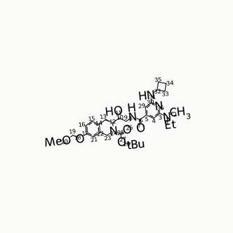 CCN(C)c1cc(C(=O)NC[C@@H](O)[C@@H]2Cc3ccc(OCOC)cc3CN2C(=O)OC(C)(C)C)cc(NC2CCC2)n1